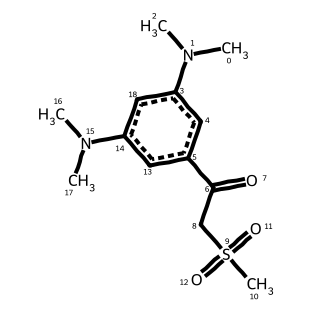 CN(C)c1cc(C(=O)CS(C)(=O)=O)cc(N(C)C)c1